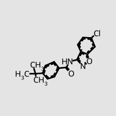 CC(C)(C)c1ccc(C(=O)Nc2noc3cc(Cl)ccc23)cc1